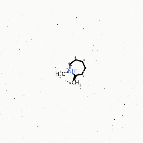 C=C1CCCCC[NH+]1[CH2-]